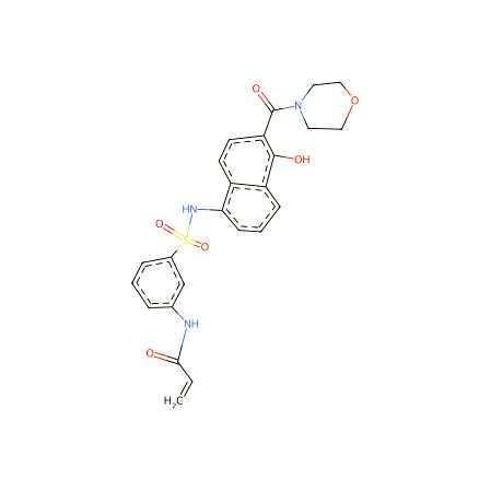 C=CC(=O)Nc1cccc(S(=O)(=O)Nc2cccc3c(O)c(C(=O)N4CCOCC4)ccc23)c1